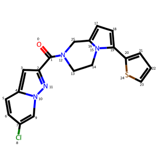 O=C(c1cc2ccc(Cl)cn2n1)N1CCn2c(ccc2-c2cccs2)C1